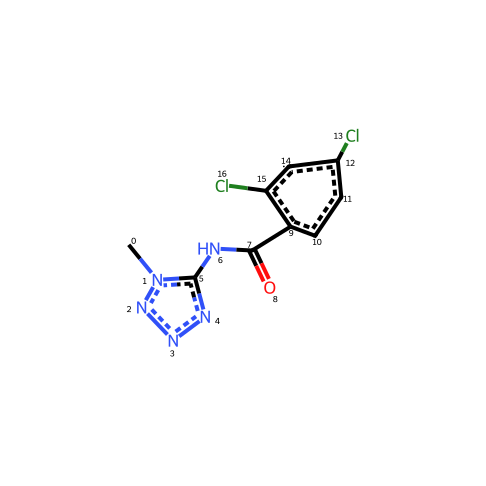 Cn1nnnc1NC(=O)c1ccc(Cl)[c]c1Cl